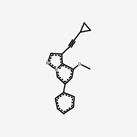 COc1cc(-c2ccccc2)cn2ncc(C#CC3CC3)c12